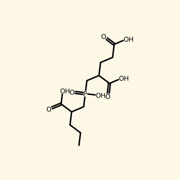 CCCC(CP(=O)(O)CC(CCC(=O)O)C(=O)O)C(=O)O